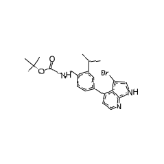 CC(C)c1cc(-c2ccnc3[nH]cc(Br)c23)ccc1CNC(=O)OC(C)(C)C